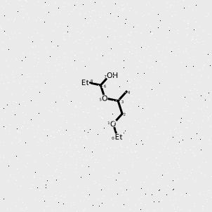 CCOCC(C)OC(O)CC